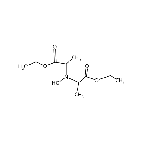 CCOC(=O)C(C)N(O)C(C)C(=O)OCC